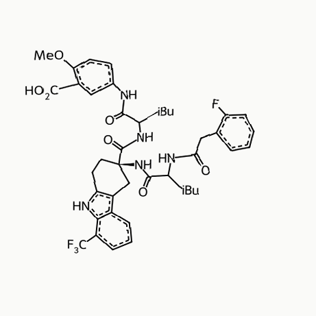 CCC(C)C(NC(=O)Cc1ccccc1F)C(=O)N[C@]1(C(=O)NC(C(=O)Nc2ccc(OC)c(C(=O)O)c2)C(C)CC)CCc2[nH]c3c(C(F)(F)F)cccc3c2C1